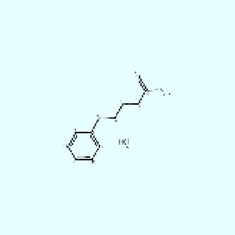 Cl.NC(=O)CCCCc1ccccc1